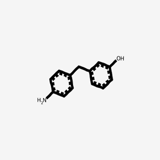 Nc1ccc(Cc2cccc(O)c2)cc1